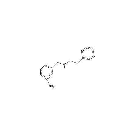 Nc1cccc(CNCCc2ccccc2)c1